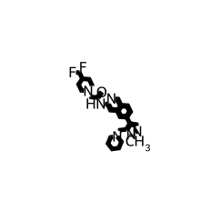 Cn1ncc(-c2ccc3cnc(NC(=O)CN4CCC(C(F)F)CC4)cc3c2)c1CN1CCCCC1